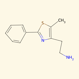 Cc1sc(-c2ccccc2)nc1CCN